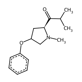 CC(C)C(=O)[C@@H]1CC(Oc2ccccc2)CN1C